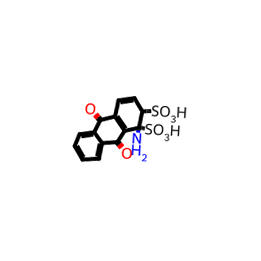 NC1(S(=O)(=O)O)C2=C(C=CC1S(=O)(=O)O)C(=O)c1ccccc1C2=O